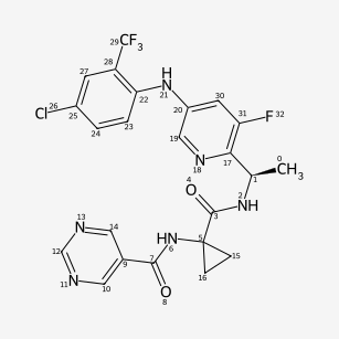 C[C@@H](NC(=O)C1(NC(=O)c2cncnc2)CC1)c1ncc(Nc2ccc(Cl)cc2C(F)(F)F)cc1F